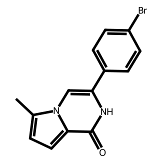 Cc1ccc2c(=O)[nH]c(-c3ccc(Br)cc3)cn12